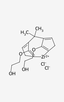 CC1(C)C2=CC[C](=C2OCCO)[Zr+2][C]2=C(OCCO)C1=CC2.[Cl-].[Cl-]